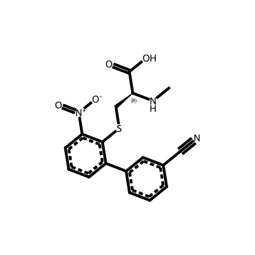 CN[C@@H](CSc1c(-c2cccc(C#N)c2)cccc1[N+](=O)[O-])C(=O)O